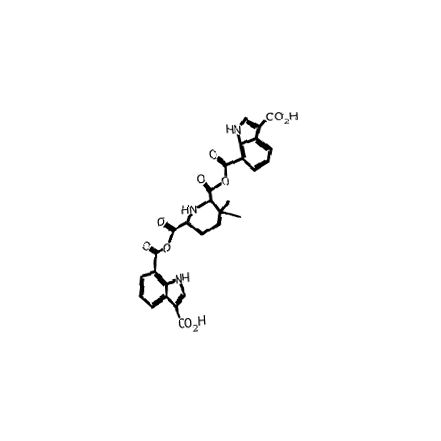 CC1(C)CCC(C(=O)OC(=O)c2cccc3c(C(=O)O)c[nH]c23)NC1C(=O)OC(=O)c1cccc2c(C(=O)O)c[nH]c12